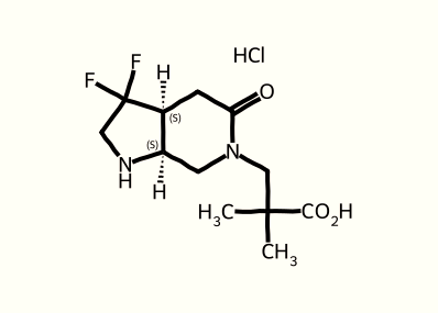 CC(C)(CN1C[C@H]2NCC(F)(F)[C@H]2CC1=O)C(=O)O.Cl